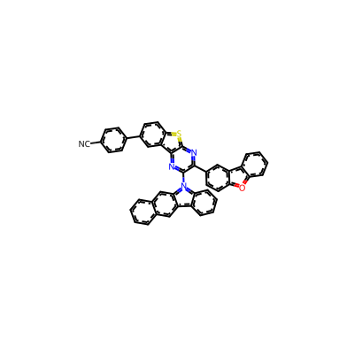 N#Cc1ccc(-c2ccc3sc4nc(-c5ccc6oc7ccccc7c6c5)c(-n5c6ccccc6c6cc7ccccc7cc65)nc4c3c2)cc1